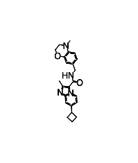 Cc1nc2cc(C3CCC3)ccn2c1C(=O)NCc1ccc2c(c1)OCCN2C